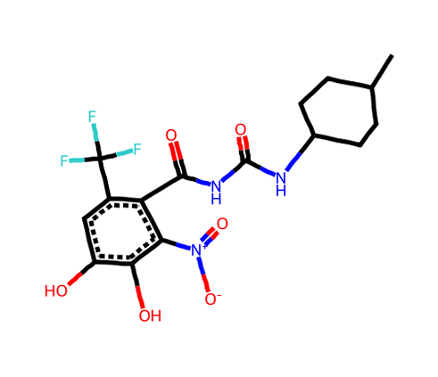 CC1CCC(NC(=O)NC(=O)c2c(C(F)(F)F)cc(O)c(O)c2[N+](=O)[O-])CC1